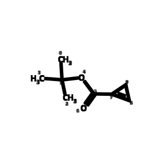 CC(C)(C)OC(=O)C1=CC1